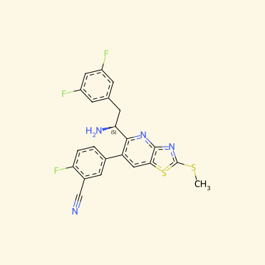 CSc1nc2nc([C@@H](N)Cc3cc(F)cc(F)c3)c(-c3ccc(F)c(C#N)c3)cc2s1